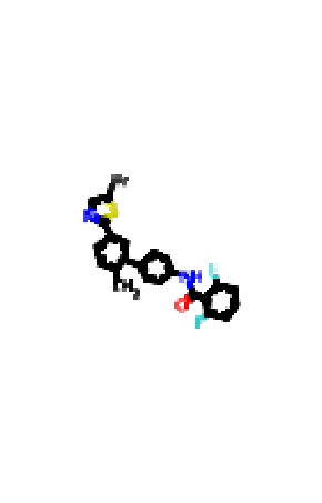 Cc1ccc(-c2ncc(C(C)C)s2)cc1-c1ccc(NC(=O)c2c(F)cccc2F)cc1